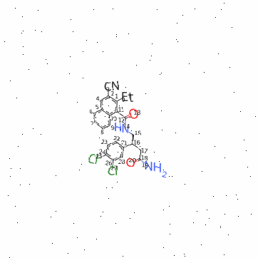 CCc1c(C#N)cc2ccccc2c1C(=O)NC[C@@H](CC(N)=O)c1ccc(Cl)c(Cl)c1